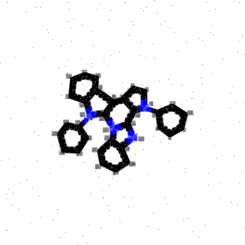 c1ccc(-n2ccc3c4c5ccccc5n(-c5ccccc5)c4n4c5ccccc5nc4c32)cc1